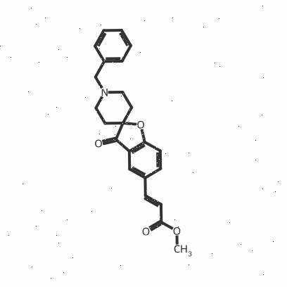 COC(=O)/C=C/c1ccc2c(c1)C(=O)C1(CCN(Cc3ccccc3)CC1)O2